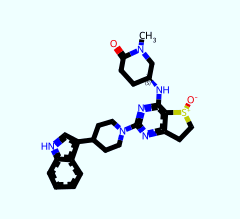 CN1C[C@@H](Nc2nc(N3CCC(c4c[nH]c5ccccc45)CC3)nc3c2[S+]([O-])CC3)CCC1=O